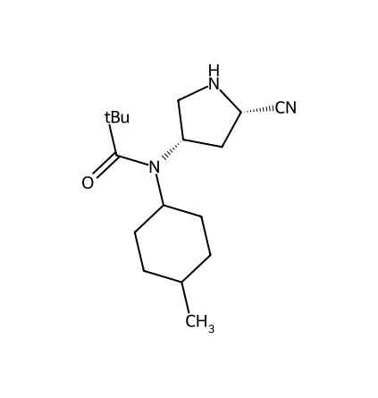 CC1CCC(N(C(=O)C(C)(C)C)[C@@H]2CN[C@H](C#N)C2)CC1